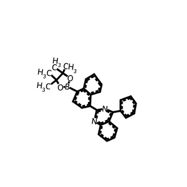 CC1(C)OB(c2ccc(-c3nc(-c4ccccc4)c4ccccc4n3)c3ccccc23)OC1(C)C